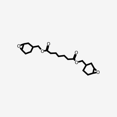 O=C(CCCCCC(=O)OCC1CCC2OC2C1)OCC1CCC2OC2C1